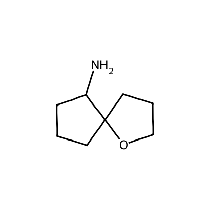 NC1CCCC12CCCO2